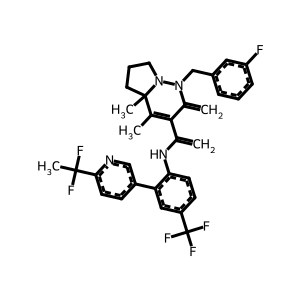 C=C(Nc1ccc(C(F)(F)F)cc1-c1ccc(C(C)(F)F)nc1)C1=C(C)C2(C)CCCN2N(Cc2cccc(F)c2)C1=C